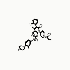 CCC(=O)N1CCC(n2c(=O)c(-c3ccccc3Cl)c(C)c3cnc(Nc4ccc(N5CCN(C)CC5)c(C)c4)nc32)CC1